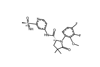 COc1c(N2C(=O)C(C)(C)C[C@@H]2C(=O)Nc2ccnc([S@](C)(=N)=O)c2)ccc(F)c1F